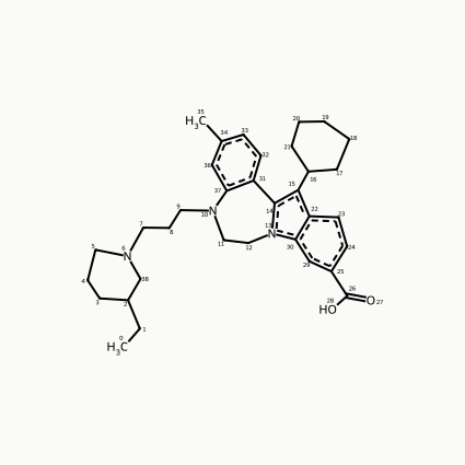 CCC1CCCN(CCCN2CCn3c(c(C4CCCCC4)c4ccc(C(=O)O)cc43)-c3ccc(C)cc32)C1